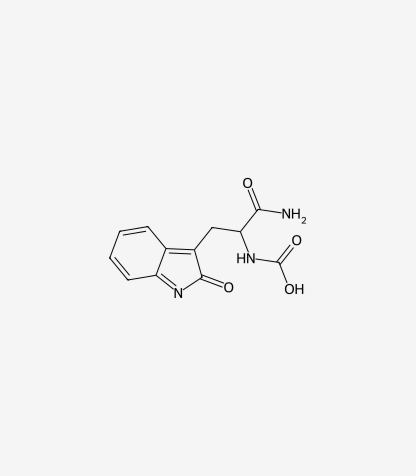 NC(=O)C(CC1=c2ccccc2=NC1=O)NC(=O)O